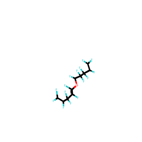 FC(OC(F)C(F)(F)C(F)(F)C(F)C(F)F)=C(F)C(F)(F)C(F)C(F)F